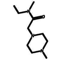 CCN(C)C(=O)CN1CCN(C)CC1